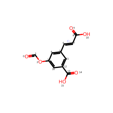 O=COc1cc(/C=C/C(=O)O)cc(C(=O)O)c1